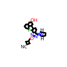 N#CC1CC(COc2nc(N3C[C@H]4CC[C@@H](C3)N4)c3ccc(-c4cc(O)cc5ccccc45)c(F)c3n2)C1